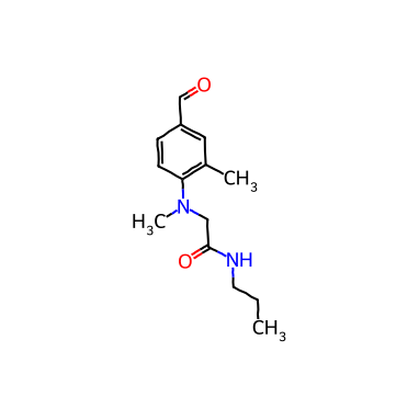 CCCNC(=O)CN(C)c1ccc(C=O)cc1C